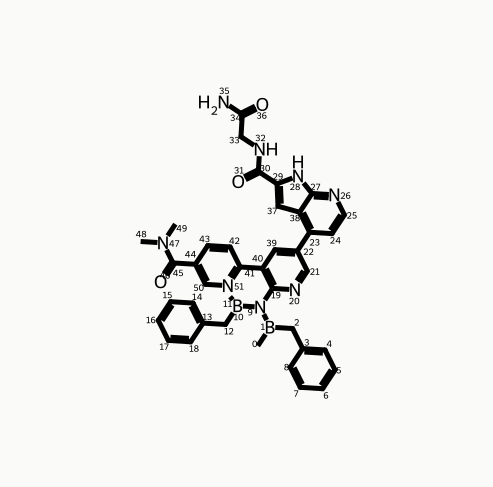 CB(Cc1ccccc1)N(B(C)Cc1ccccc1)c1ncc(-c2ccnc3[nH]c(C(=O)NCC(N)=O)cc23)cc1-c1ccc(C(=O)N(C)C)cn1